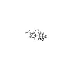 CCC1N(CC)N=CN1C(Cl)(Cl)C(Cl)(Cl)Cl